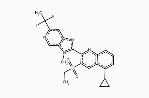 CCS(=O)(=O)c1cc2c(C3CC3)cccc2nc1-c1nc2cc(C(C)(F)F)ncc2n1C